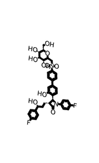 O=C1[C@H](CC[C@H](O)c2ccc(F)cc2)[C@@H](c2ccc(-c3ccc(S(=O)(=O)CC4O[C@H](CO)[C@@H](O)[C@H](O)[C@H]4O)cc3)cc2O)N1c1ccc(F)cc1